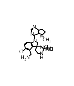 C[C@@H]1CCc2ncnc(N3CC4(CCNCC4)c4c3ccc(Cl)c4CN)c21.Cl.Cl.Cl